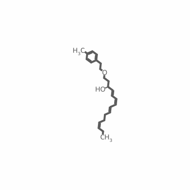 CC/C=C\CC/C=C/C=C\C=C\[C@@H](O)CCOCCc1ccc(C)cc1